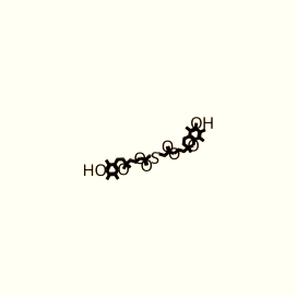 Cc1c(C)c2c(c(C)c1O)CCC(C)(CCOC(=O)CCSCC(=O)OCCC1(C)CCc3c(C)c(O)c(C)c(C)c3O1)O2